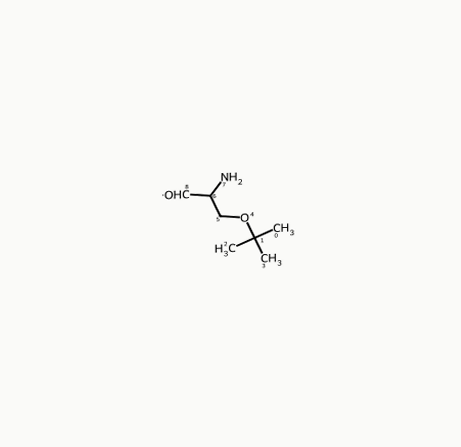 CC(C)(C)OCC(N)[C]=O